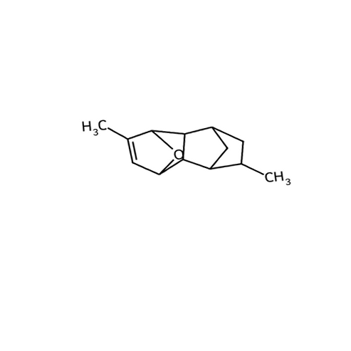 CC1=CC2OC1C1C3CC(C)C(C3)C21